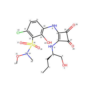 CCC[C@H](CO)Nc1c(Nc2ccc(Cl)c(S(=O)(=O)N(C)OC)c2O)c(=O)c1=O